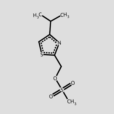 CC(C)c1csc(COS(C)(=O)=O)n1